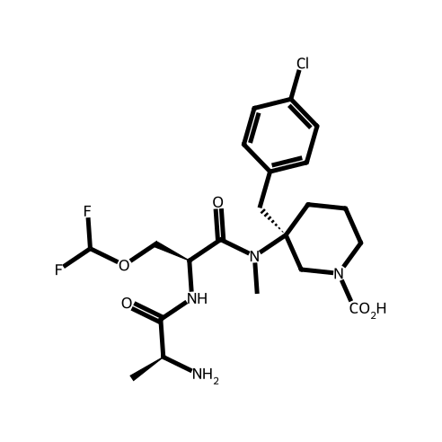 C[C@H](N)C(=O)N[C@@H](COC(F)F)C(=O)N(C)[C@@]1(Cc2ccc(Cl)cc2)CCCN(C(=O)O)C1